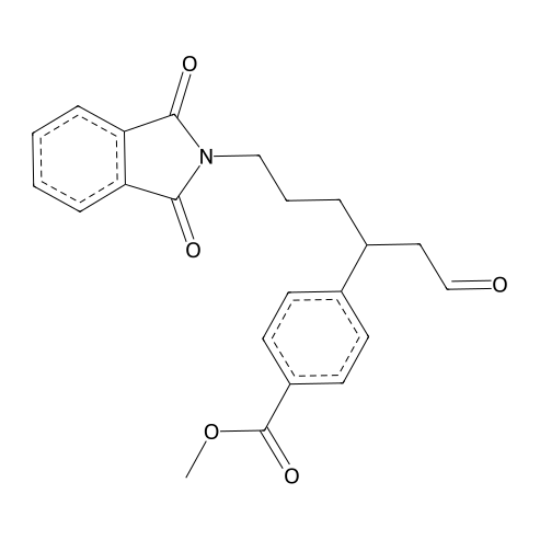 COC(=O)c1ccc(C(CC=O)CCCN2C(=O)c3ccccc3C2=O)cc1